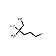 CCCC[C@](C)(N)CO